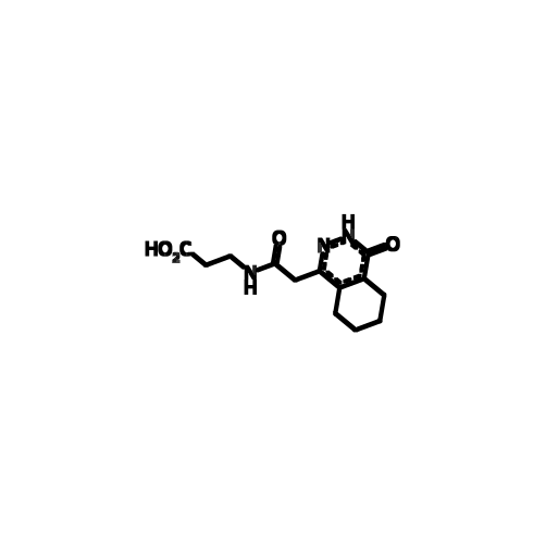 O=C(O)CCNC(=O)Cc1n[nH]c(=O)c2c1CCCC2